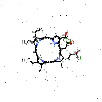 C=Cc1c(C)c2cc3nc(c(CC(=O)Cl)c4[nH]c(cc5nc(cc1[nH]2)C(C)=C5CC)cc4C(=O)Cl)[C@@H](CCC(=O)Cl)[C@@H]3C